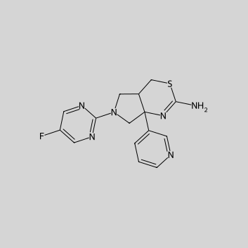 NC1=NC2(c3cccnc3)CN(c3ncc(F)cn3)CC2CS1